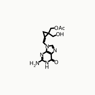 CC(=O)OCC1(CO)C/C1=C/n1cnc2c(=O)[nH]c(N)nc21